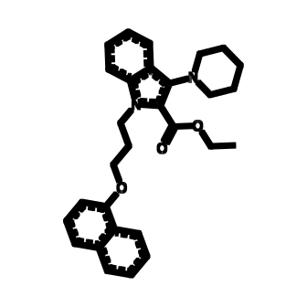 CCOC(=O)c1c(N2CCCCC2)c2ccccc2n1CCCOc1cccc2ccccc12